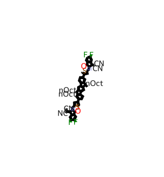 CCCCCCCCC1(C)c2cc(-c3csc(/C=C4\C(=O)c5cc(F)c(F)cc5C4=C(C#N)C#N)c3)ccc2-c2cc3c(cc21)-c1ccc(-c2csc(/C=C4\C(=O)c5cc(F)c(F)cc5C4=C(C#N)C#N)c2)cc1C3(CCCCCCCC)CCCCCCCC